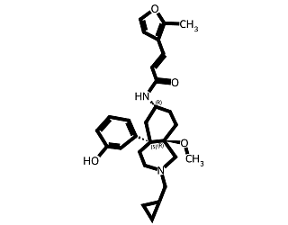 CO[C@]12CC[C@@H](NC(=O)C=Cc3ccoc3C)C[C@]1(c1cccc(O)c1)CCN(CC1CC1)C2